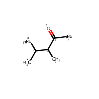 CCCCC(C)C(C)C(=O)C(C)CC